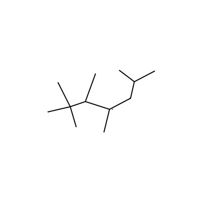 C[C](CC(C)C)C(C)C(C)(C)C